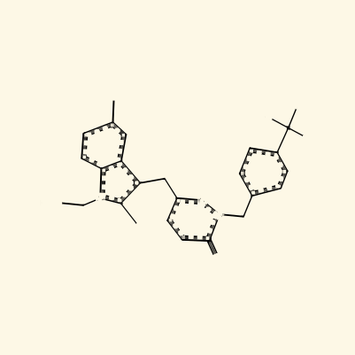 Cc1c(Cc2ccc(=O)n(Cc3ccc(C(O)(C(F)(F)F)C(F)(F)F)cc3)n2)c2cc(F)ccc2n1CC(=O)O